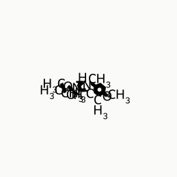 COc1ccc(C(C)N2C[C@@H]3C[C@H]2CN3C(=O)OC(C)(C)C)c(C)c1C